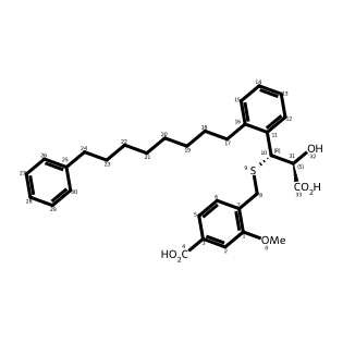 COc1cc(C(=O)O)ccc1CS[C@H](c1ccccc1CCCCCCCCc1ccccc1)[C@@H](O)C(=O)O